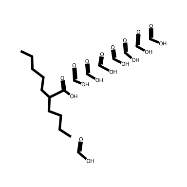 CCCCCC(CCCC)C(=O)O.O=CO.O=CO.O=CO.O=CO.O=CO.O=CO.O=CO.O=CO